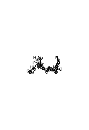 CC(C)[C@H](NCCNC(=O)CCCN1C(=O)C=CC1=O)C(=O)NC(CCCNC(N)=O)C(=O)Nc1ccc(COC(=O)N(C)c2ccccc2N(C)C(=O)Oc2cc3c(c4ccccc24)[C@H](CCl)CN3C(=O)c2cc3cc(OCCN(C)C)ccc3o2)cc1